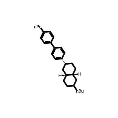 CCCCC1CC[C@@H]2C[C@H](c3ccc(-c4ccc(CCC)cc4)cc3)CC[C@@H]2C1